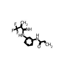 C=CC(=O)Nc1cccc(NC(=N)C(=C)C(F)(F)F)c1